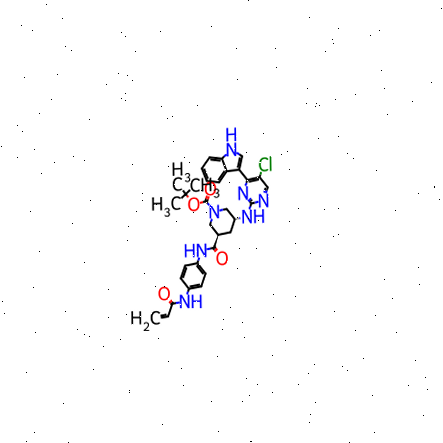 C=CC(=O)Nc1ccc(NC(=O)[C@@H]2C[C@@H](Nc3ncc(Cl)c(-c4c[nH]c5ccccc45)n3)CN(C(=O)OC(C)(C)C)C2)cc1